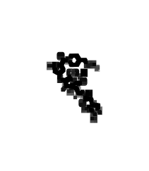 C[C@@H](NC(=O)CN1C=NNN1)[C@H]1C(=O)N2C(C(=O)O)=C(SC3CNC(C(=O)N4CCC(CN)CC4)C3)[C@H](C)[C@H]12